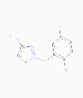 Cc1ccc([N+](=O)[O-])c(Cn2ccc(C(F)(F)F)n2)c1